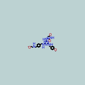 COCCNCc1ccc(CNc2nc(NCc3ccc(OC)cc3)nc(NN3CC(=O)NC3=O)n2)cc1